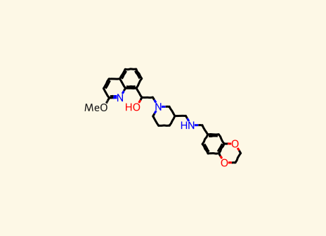 COc1ccc2cccc(C(O)CN3CCCC(CNCc4ccc5c(c4)OCCO5)C3)c2n1